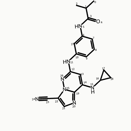 CC(C)C(=O)Nc1cccc(Nc2cc(NC3CC3)c3ncc(C#N)n3n2)c1